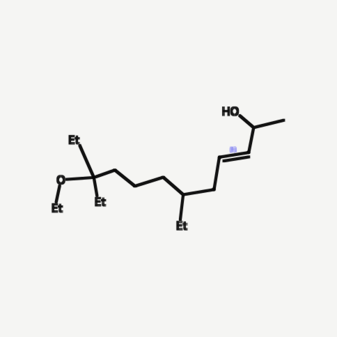 CCOC(CC)(CC)CCCC(CC)C/C=C/C(C)O